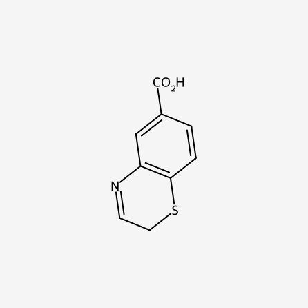 O=C(O)c1ccc2c(c1)N=CCS2